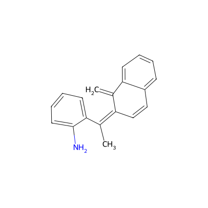 C=c1/c(=C(/C)c2ccccc2N)ccc2ccccc12